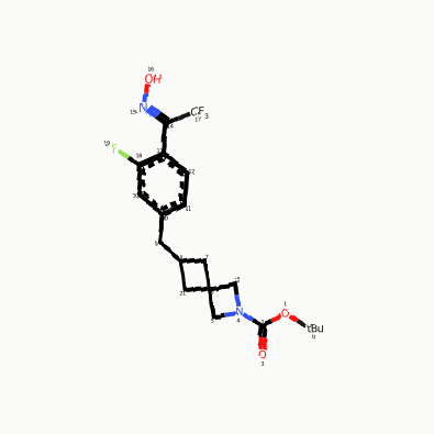 CC(C)(C)OC(=O)N1CC2(CC(Cc3ccc(C(=NO)C(F)(F)F)c(F)c3)C2)C1